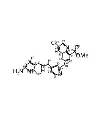 C=C(NCc1c(C)cc(N)nc1C)c1ccnc(Cc2cc(C(=O)OC)c3ncc(Cl)cc3c2)c1